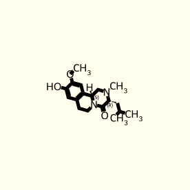 COc1cc2c(cc1O)CCN1C(=O)[C@@H](CC(C)C)N(C)C[C@H]21